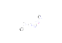 O=C(NCc1ncc(F)cc1F)c1cnc(N2CCC(N3CCC[C@H](c4ccccc4)C3)CC2)s1